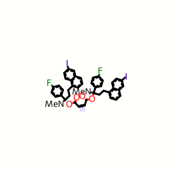 CNC(CCc1cccc2cc(I)ccc12)(OC(=O)/C=C\C(=O)OC(CCc1cccc2cc(I)ccc12)(NC)c1ccc(F)cc1)c1ccc(F)cc1